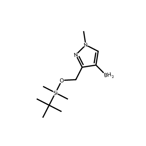 Bc1cn(C)nc1CO[Si](C)(C)C(C)(C)C